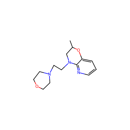 CC1CN(CCN2CCOCC2)c2ncccc2O1